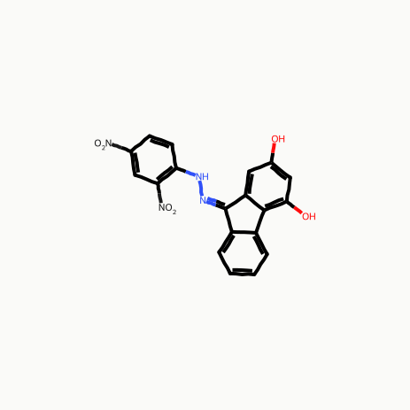 O=[N+]([O-])c1ccc(NN=C2c3ccccc3-c3c(O)cc(O)cc32)c([N+](=O)[O-])c1